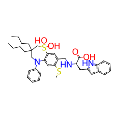 CCCCC1(CCCC)CN(c2ccccc2)c2cc(SC)c(CN[C@H](Cc3cc4ccccc4[nH]3)C(=O)O)cc2S(O)(O)C1